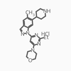 CCc1nc(N2CCOCC2)cc(-n2ncc3cc(C)c(C4CCNCC4)cc32)n1.Cl